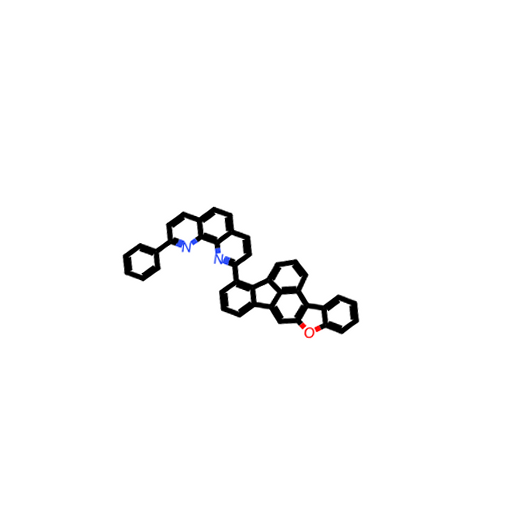 c1ccc(-c2ccc3ccc4ccc(-c5cccc6c5-c5cccc7c5c-6cc5oc6ccccc6c57)nc4c3n2)cc1